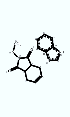 O=C1C2CC=CCC2C(=O)N1SC(Cl)(Cl)Cl.c1ccc2[nH]cnc2c1